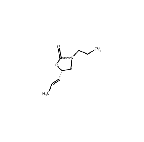 CC=C[C@H]1CN(CCC)C(=O)O1